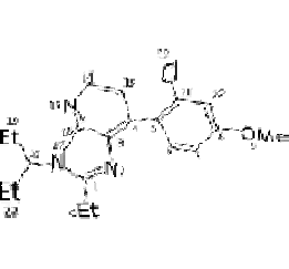 CCc1nc2c(-c3ccc(OC)cc3Cl)ccnc2n1C(CC)CC